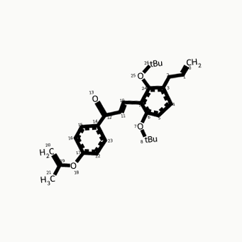 C=CCc1ccc(OC(C)(C)C)c(/C=C/C(=O)c2ccc(OC(=C)C)cc2)c1OC(C)(C)C